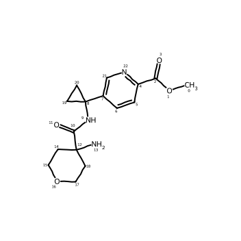 COC(=O)c1ccc(C2(NC(=O)C3(N)CCOCC3)CC2)cn1